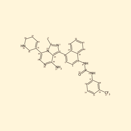 Cc1nc(-c2ccc(NC(=O)Nc3cccc(C(F)(F)F)c3)c3ccccc23)c2c(N)ncc(C3=CCCNC3)n12